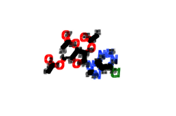 CC(=O)OC[C@H]1O[C@@H](n2cnc3c(Cl)nnnc32)[C@H](OC(C)=O)[C@@H]1OC(C)=O